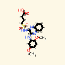 COc1ccc(OC)c(Nc2nc3ccccc3nc2NS(=O)(=O)CCCC(=O)O)c1